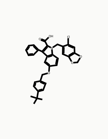 CC(C)(C)c1ccc(COc2ccc3c(c2)c(-c2ccccc2)c(C(=O)O)n3Cc2cc3c(cc2Cl)OCO3)cc1